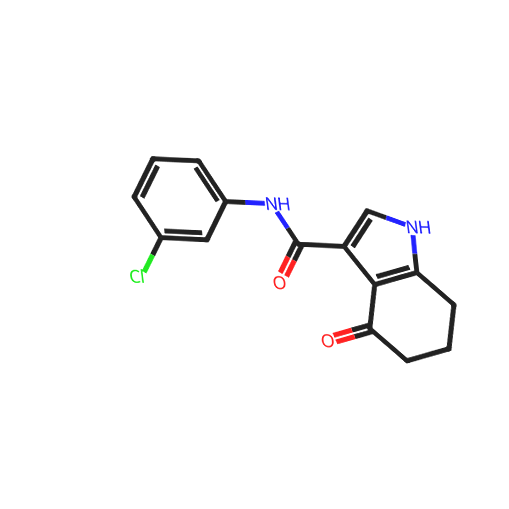 O=C(Nc1cccc(Cl)c1)c1c[nH]c2c1C(=O)CCC2